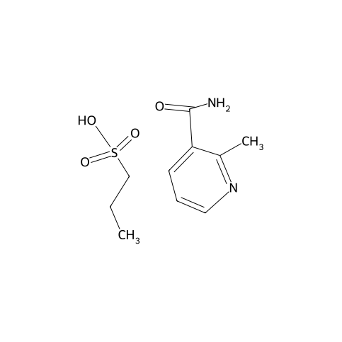 CCCS(=O)(=O)O.Cc1ncccc1C(N)=O